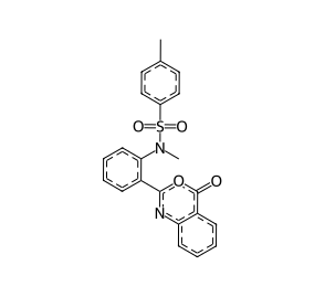 Cc1ccc(S(=O)(=O)N(C)c2ccccc2-c2nc3ccccc3c(=O)o2)cc1